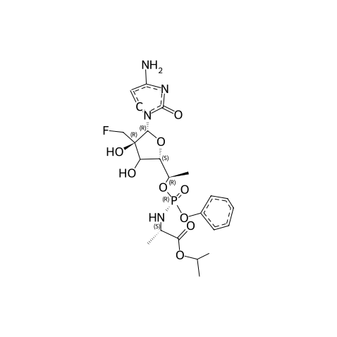 CC(C)OC(=O)[C@H](C)N[P@](=O)(Oc1ccccc1)O[C@H](C)[C@H]1O[C@@H](n2ccc(N)nc2=O)[C@@](O)(CF)C1O